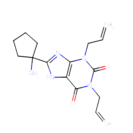 C=CCn1c(=O)c2[nH]c(C3(N)CCCC3)nc2n(CC=C)c1=O